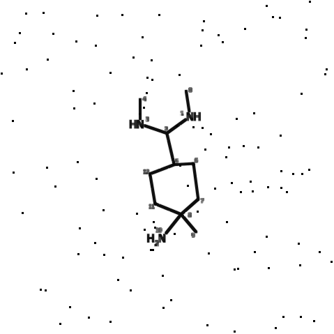 CNC(NC)C1CCC(C)(N)CC1